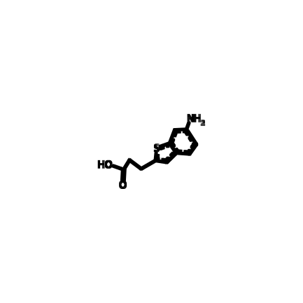 Nc1ccc2cc(CCC(=O)O)sc2c1